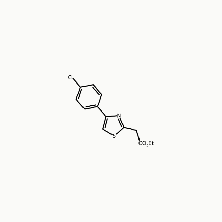 CCOC(=O)Cc1nc(-c2ccc(Cl)cc2)cs1